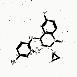 CC(=O)N1c2ccc(F)cc2[C@H](Nc2ccc(C#N)cn2)[C@@H](C)[C@H]1C1CC1